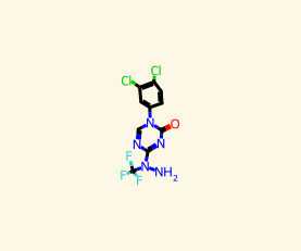 NN(c1ncn(-c2ccc(Cl)c(Cl)c2)c(=O)n1)C(F)(F)F